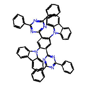 c1ccc(-c2nc(-c3ccccc3)nc(-c3cc(-n4c5ccccc5c5ccccc54)c(-c4nc(-c5ccccc5)nc(-c5ccccc5)n4)cc3-n3c4ccccc4c4ccccc43)n2)cc1